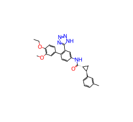 CCOc1ccc(-c2ccc(NC(=O)[C@@H]3C[C@H]3c3cccc(C)c3)cc2-c2nnn[nH]2)cc1OC